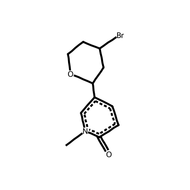 Cn1cc(C2CC(Br)CCO2)ccc1=O